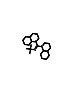 CC(C)(C)N=C(N1CCCC2CCCCC21)N1CCCC2CCCCC21